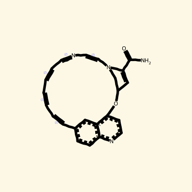 NC(=O)C1=CC2CN1\C=C/N=C\C=C/C=C\C=C/c1ccc3nccc(c3c1)O2